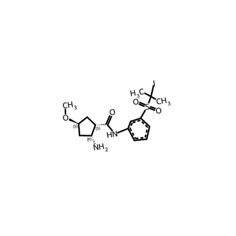 CO[C@@H]1C[C@@H](N)[C@@H](C(=O)Nc2cccc(S(=O)(=O)C(C)(C)I)c2)C1